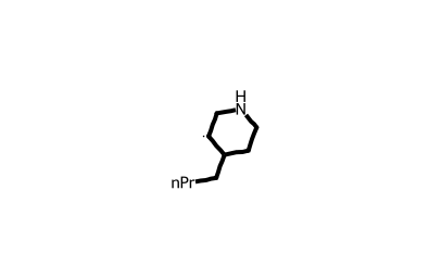 CCCCC1[CH]CNCC1